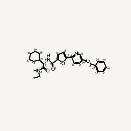 CCNC(=O)[C@@H](NC(=O)c1ccc(-c2ccc(OCc3ccccc3)cn2)o1)C1CCCCC1